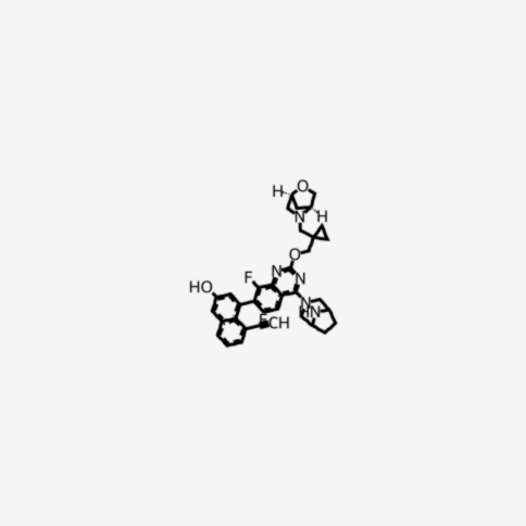 C#Cc1cccc2cc(O)cc(-c3c(F)cc4c(N5CC6CCC(C5)N6)nc(OCC5(CN6C[C@@H]7C[C@H]6CO7)CC5)nc4c3F)c12